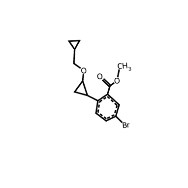 COC(=O)c1cc(Br)ccc1C1CC1OCC1CC1